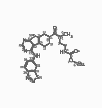 CN(CCNC(=O)OC(C)(C)C)C(=O)[C@H]1CCc2c(sc3ncnc(Nc4ccc5nnsc5c4)c23)C1